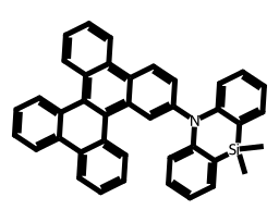 C[Si]1(C)c2ccccc2N(c2ccc3c4ccccc4c4c5ccccc5c5ccccc5c4c3c2)c2ccccc21